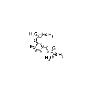 CNC[C@H](C)Oc1cc(/C=C/C(=O)C(C)C)ccc1F